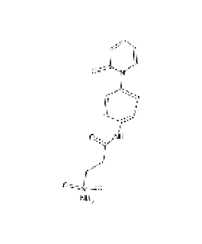 NS(=O)(=O)CCC(=O)Nc1ccc(-n2ccccc2=O)cc1